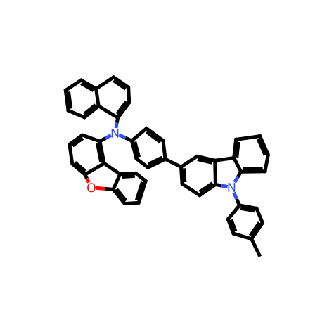 Cc1ccc(-n2c3ccccc3c3cc(-c4ccc(N(c5cccc6ccccc56)c5cccc6oc7ccccc7c56)cc4)ccc32)cc1